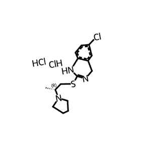 C[C@H](CSC1=NCc2cc(Cl)ccc2N1)N1CCCC1.Cl.Cl